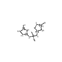 CN1CCN(CC(C)(C)CN2CCN(C)C2)C1